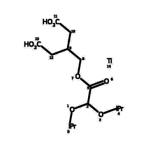 CC(C)OC(OC(C)C)C(=O)OCC(CC(=O)O)CC(=O)O.[Ti]